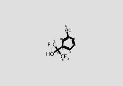 CC(=O)c1cccc(C(O)(C(F)(F)F)C(F)(F)F)c1